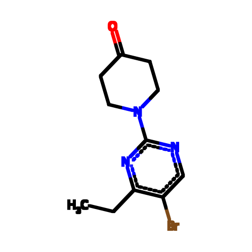 CCc1nc(N2CCC(=O)CC2)ncc1Br